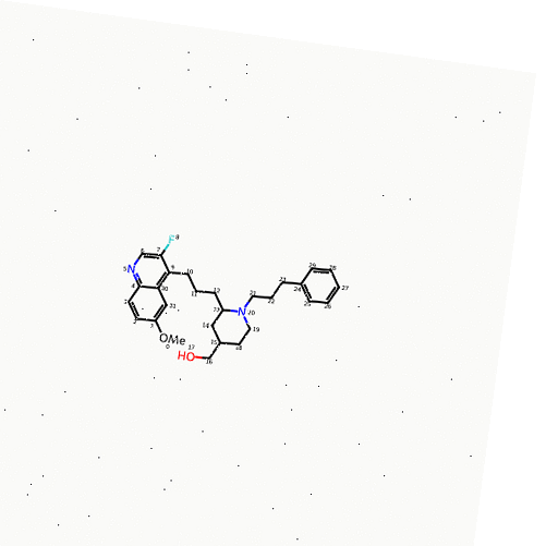 COc1ccc2ncc(F)c(CCCC3CC(CO)CCN3CCCc3ccccc3)c2c1